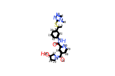 CC(Sc1nncn1C)c1cccc(NC(=O)c2cc(C(=O)N3CCC(O)C3)ccn2)c1